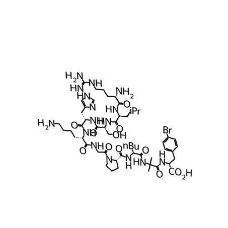 CCCC[C@H](NC(=O)[C@@H]1CCCN1C(=O)CNC(=O)[C@H](CCCCN)NC(=O)[C@H](Cc1c[nH]cn1)NC(=O)[C@H](CO)NC(=O)[C@H](CC(C)C)NC(=O)[C@@H](N)CCCNC(=N)N)C(=O)NC(C)(C)C(=O)N[C@@H](Cc1ccc(Br)cc1)C(=O)O